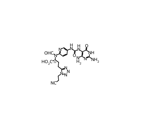 N#CCCn1nnnc1CC[C@@H](C(=O)O)N(C=O)c1ccc(NC(=O)Nc2c(N)nc(N)[nH]c2=O)cn1